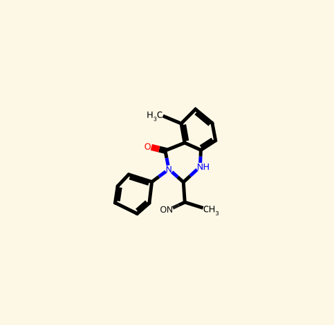 Cc1cccc2c1C(=O)N(c1ccccc1)C(C(C)N=O)N2